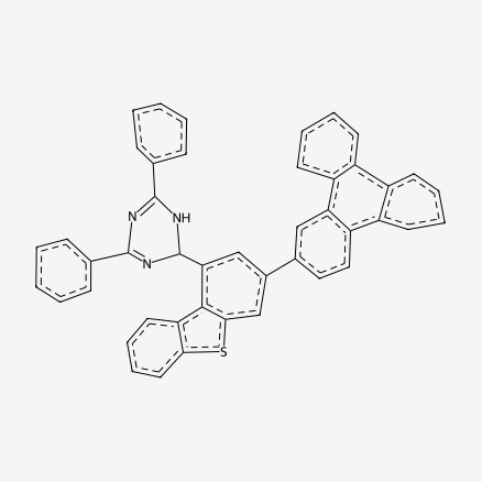 c1ccc(C2=NC(c3cc(-c4ccc5c6ccccc6c6ccccc6c5c4)cc4sc5ccccc5c34)NC(c3ccccc3)=N2)cc1